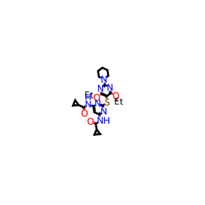 CCOc1nc(N2CCCCC2)nc(OCC)c1Sc1nc(NC(=O)C2CC2)cc(NC(=O)C2CC2)n1